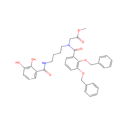 COC(=O)CN(CCCCNC(=O)c1cccc(O)c1O)C(=O)c1cccc(OCc2ccccc2)c1OCc1ccccc1